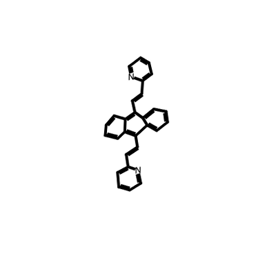 C(=Cc1c2ccccc2c(C=Cc2ccccn2)c2ccccc12)c1ccccn1